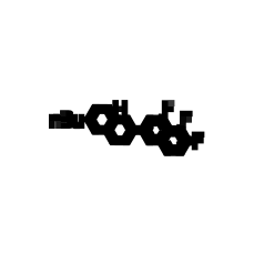 CCCC[C@@H]1CC[C@@H]2CC(c3cc(F)c4c(F)c(F)ccc4c3)CCC2C1